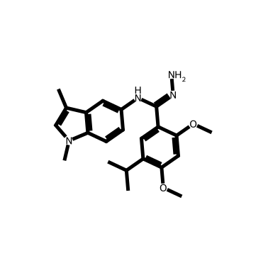 COc1cc(OC)c(C(C)C)cc1/C(=N/N)Nc1ccc2c(c1)c(C)cn2C